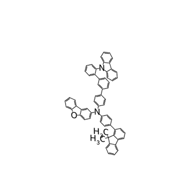 CC1(C)c2ccccc2-c2cccc(-c3ccc(N(c4ccc(-c5cccc(-c6ccccc6-n6c7ccccc7c7ccccc76)c5)cc4)c4ccc5oc6ccccc6c5c4)cc3)c21